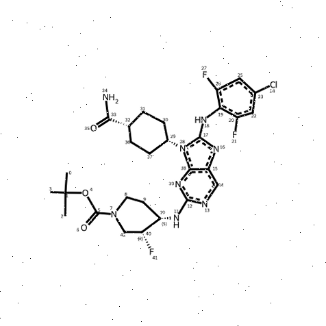 CC(C)(C)OC(=O)N1CC[C@H](Nc2ncc3nc(Nc4c(F)cc(Cl)cc4F)n([C@H]4CC[C@@H](C(N)=O)CC4)c3n2)[C@H](F)C1